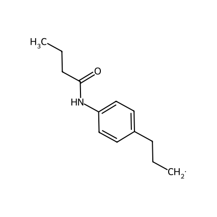 [CH2]CCc1ccc(NC(=O)CCC)cc1